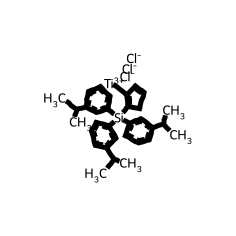 CC(C)c1cccc([Si](C2=[C]([Ti+3])C=CC2)(c2cccc(C(C)C)c2)c2cccc(C(C)C)c2)c1.[Cl-].[Cl-].[Cl-]